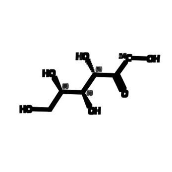 O=C([14CH2]O)[C@@H](O)[C@@H](O)[C@H](O)CO